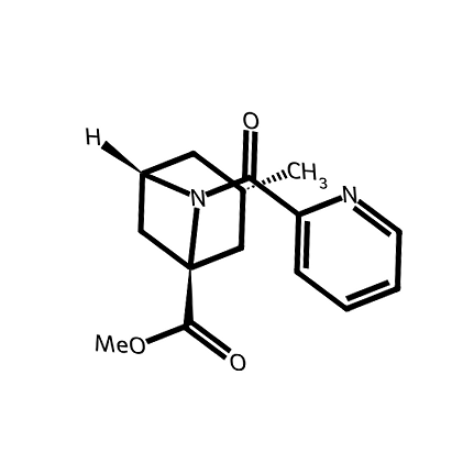 COC(=O)[C@@]12C[C@@H](C)C[C@@H](C1)N2C(=O)c1ccccn1